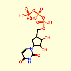 O=c1ccn(C2CC(COP(=O)(O)OP(=O)(O)OP(=O)(O)O)C(O)C2O)c(=O)[nH]1